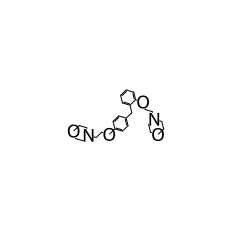 c1ccc(OCCN2CCOCC2)c(Cc2ccc(OCCN3CCOCC3)cc2)c1